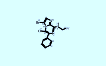 CC(C)CNc1nc(-c2ccccc2)c(Cl)n2c(Br)cnc12